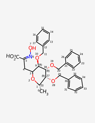 C[C@@H]1OC(CC(=NO)C(=O)O)[C@@H](OCc2ccccc2)[C@H](OCc2ccccc2)[C@@H]1OCc1ccccc1